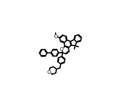 COc1ccc2c3c(c4c(c2c1)OC(c1ccc(CC2CCOCC2)cc1)(c1ccc(-c2ccccc2)cc1)C=C4)C(C)(C)c1ccccc1-3